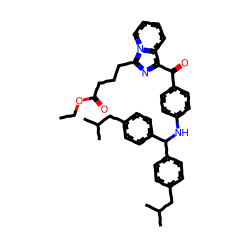 CCOC(=O)CCCc1nc(C(=O)c2ccc(NC(c3ccc(CC(C)C)cc3)c3ccc(CC(C)C)cc3)cc2)c2ccccn12